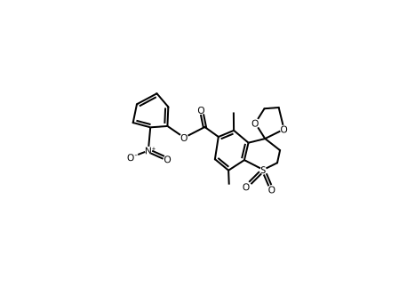 Cc1cc(C(=O)Oc2ccccc2[N+](=O)[O-])c(C)c2c1S(=O)(=O)CCC21OCCO1